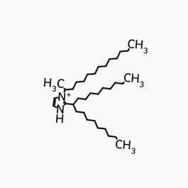 CCCCCCCCCCCCC(C)[n+]1cc[nH]c1C(CCCCCCCCC)CCCCCCCCC